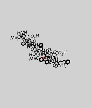 CCc1cc(OC)ccc1-c1ccc(C[C@H](NC(=O)[C@H](CC(=O)O)NC(=O)[C@H](CO)NC(=O)[C@@H](NC(=O)[C@](C)(Cc2ccccc2F)NC(=O)[C@@H](NC(=O)CNC(=O)[C@H](CCC(=O)O)NC(=O)[C@]2(C)CCCN2C(=O)[C@H](Cc2c[nH]cn2)NC(=O)OC)[C@@H](C)O)[C@@H](C)O)C(=O)N[C@@H](CCCc2ccccc2)C(N)=O)cc1